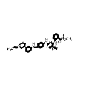 CC=CN1CCC[C@H](c2cccc(NCc3ccc(Nc4ncc(C(F)(F)F)c(Nc5ccccc5C(=O)NOC)n4)cc3)c2)C1